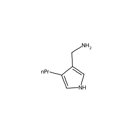 CCCc1c[nH]cc1CN